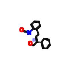 O=C=Nc1ccccc1C/C=C(/C=O)c1ccccc1